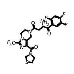 N[C@H](CC(=O)N1CCn2c(C(F)(F)F)nc(C(=O)N3CCSC3)c2C1)C(=O)c1cc(F)c(F)cc1F